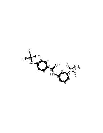 NS(=O)(=O)c1cccc(NC(=O)c2ccc(OC(F)(F)F)cc2)c1